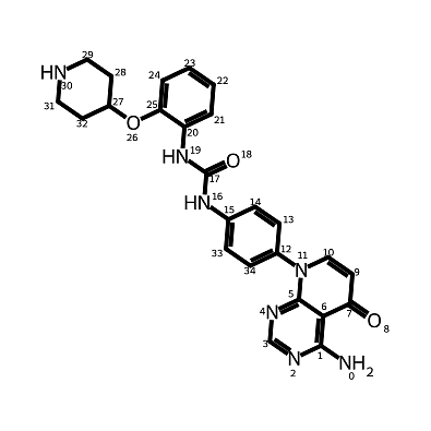 Nc1ncnc2c1c(=O)ccn2-c1ccc(NC(=O)Nc2ccccc2OC2CCNCC2)cc1